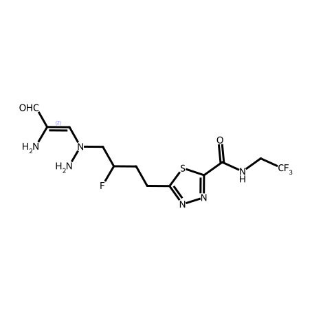 N/C(C=O)=C\N(N)CC(F)CCc1nnc(C(=O)NCC(F)(F)F)s1